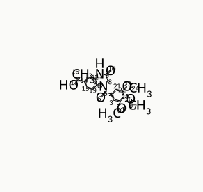 COc1cc(C(=O)N2CC(=O)Nc3cc(C(C)O)ccc32)cc(OC)c1OC